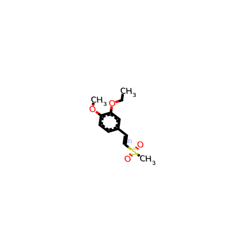 CCOc1cc(/C=C/S(C)(=O)=O)ccc1OC